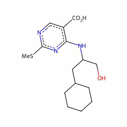 CSc1ncc(C(=O)O)c(NC(CO)CC2CCCCC2)n1